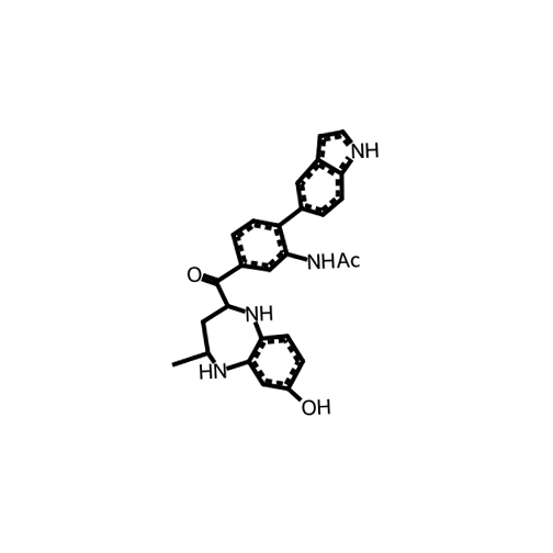 CC(=O)Nc1cc(C(=O)C2CC(C)Nc3cc(O)ccc3N2)ccc1-c1ccc2[nH]ccc2c1